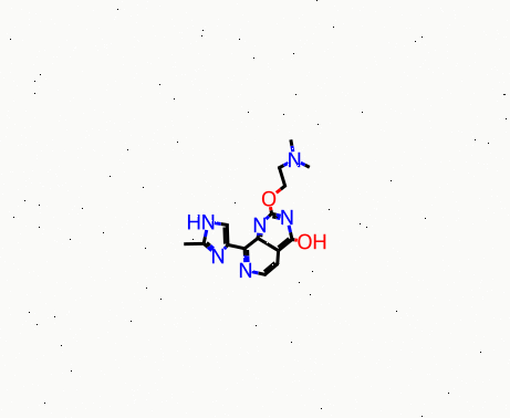 Cc1nc(-c2nccc3c(O)nc(OCCN(C)C)nc23)c[nH]1